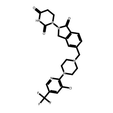 O=C1CCN(N2Cc3cc(CN4CCN(c5ncc(C(F)(F)F)cc5Cl)CC4)ccc3C2=O)C(=O)N1